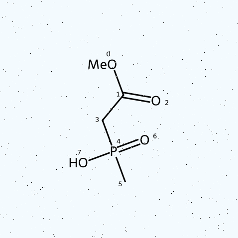 COC(=O)CP(C)(=O)O